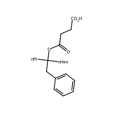 CCCCCCC(CCC)(Cc1ccccc1)OC(=O)CCC(=O)O